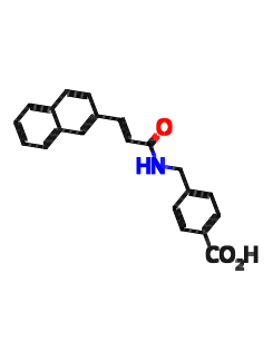 O=C(C=Cc1ccc2ccccc2c1)NCc1ccc(C(=O)O)cc1